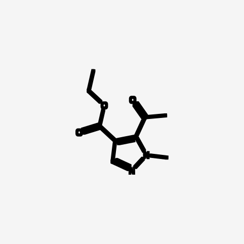 CCOC(=O)c1cnn(C)c1C(C)=O